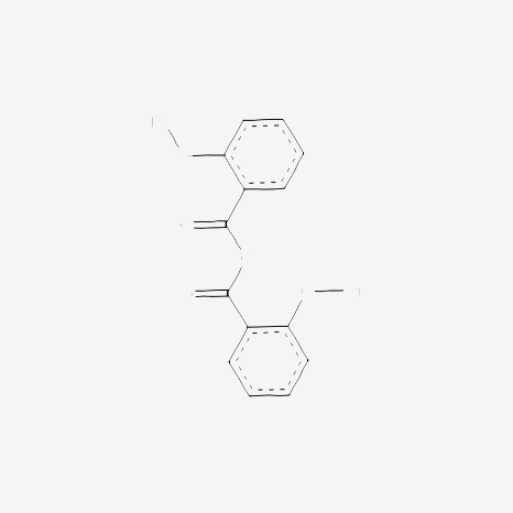 CC(C)Oc1ccccc1C(=O)OC(=O)c1ccccc1OC(C)C